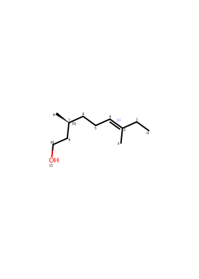 CC/C(C)=C/CC[C@H](C)CCO